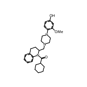 COc1cc(O)ccc1N1CCN(CC2CCc3ccccc3N2C(=O)C2CCCCC2)CC1